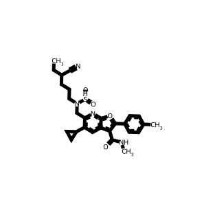 CCC(C#N)CCCN(Cc1nc2oc(-c3ccc(C)cc3)c(C(=O)NC)c2cc1C1CC1)[SH](=O)=O